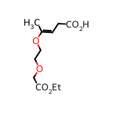 CCOC(=O)COCCOC(C)=CCC(=O)O